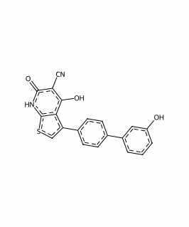 N#Cc1c(O)c2c(-c3ccc(-c4cccc(O)c4)cc3)csc2[nH]c1=O